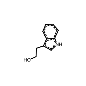 OCCc1c[nH]c2cc[c]cc12